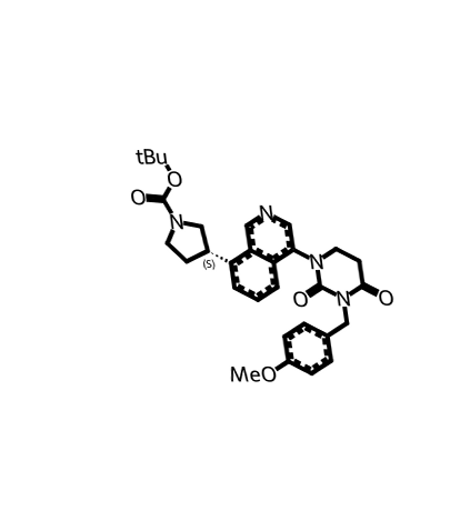 COc1ccc(CN2C(=O)CCN(c3cncc4c([C@@H]5CCN(C(=O)OC(C)(C)C)C5)cccc34)C2=O)cc1